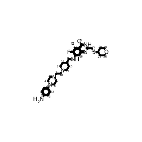 Nc1ccc(N2CCN(CCN3CCC(CNc4cc5nc(CSC6CCOCC6)[nH]c(=O)c5c(F)c4F)CC3)CC2)cc1